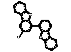 Clc1cc(-c2cccc3c2sc2ccccc23)c2oc3ccccc3c2c1